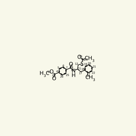 COC(=O)c1ccc(C(=O)NC(CSC(C)=O)Cc2ccccc2C)cc1